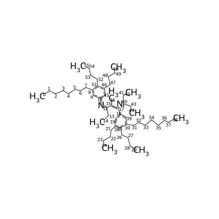 CCCCCCCCc1cc(N=C(CC)C(C)=[C](c2cc(CCCC)c(CCCC)c(CCCCCCCC)c2)[Ni]([CH2]C)[CH2]C)cc(CCCC)c1CCCC